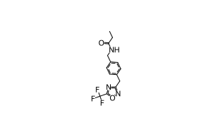 CCC(=O)NCc1ccc(Cc2noc(C(F)(F)F)n2)cc1